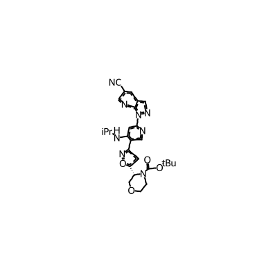 CC(C)Nc1cc(-n2ncc3cc(C#N)cnc32)ncc1-c1cc([C@H]2COCCN2C(=O)OC(C)(C)C)on1